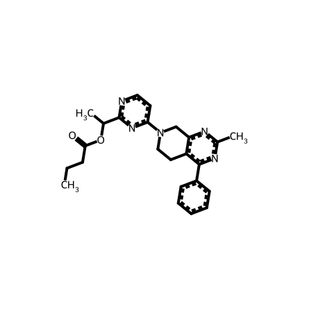 CCCC(=O)OC(C)c1nccc(N2CCc3c(nc(C)nc3-c3ccccc3)C2)n1